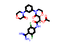 CC(=O)O[C@@H](C(=O)Nc1cc(F)c(C(=N)N)cc1F)[C@H]1OCCN(c2cccc(N3CCOCC3=O)c2)C1=O